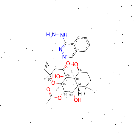 C=C[C@@]1(C)CC(=O)[C@]2(O)[C@@]3(C)[C@@H](O)CCC(C)(C)[C@@H]3[C@H](O)[C@H](OC(C)=O)[C@@]2(C)O1.NNc1nncc2ccccc12